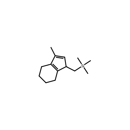 CC1=C[C](C[Si](C)(C)C)C2=C1CCCC2